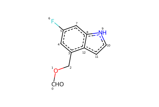 O=COCc1cc(F)cc2[nH]ccc12